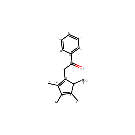 CC1=C(C)C(C(C)(C)C)C(CC(=O)c2ccccc2)=C1C